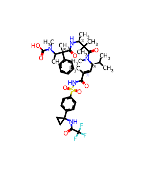 C/C(=C\[C@H](C(C)C)N(C)C(=O)C(C)(C)[C@H](C)NC(=O)[C@](C)(c1ccccc1)C(C)N(C)C(=O)O)C(=O)NS(=O)(=O)c1ccc(C2(NC(=O)C(F)(F)F)CC2)cc1